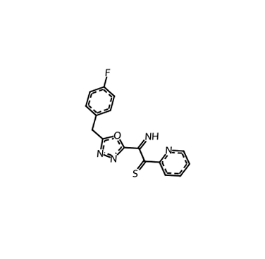 N=C(C(=S)c1ccccn1)c1nnc(Cc2ccc(F)cc2)o1